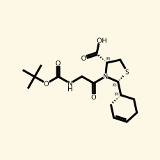 CC(C)(C)OC(=O)NCC(=O)N1[C@@H]([C@H]2CC=CCC2)SC[C@H]1C(=O)O